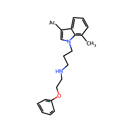 CC(=O)c1cn(CCCNCCOc2ccccc2)c2c(C)cccc12